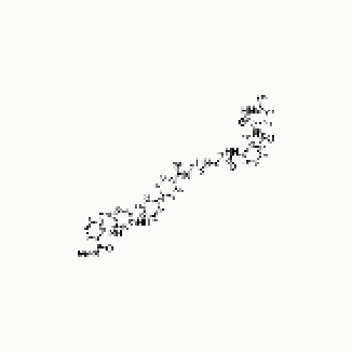 CNC(=O)c1ccccc1Nc1nc(Nc2ccc(N3CCN(C(=O)NCCNCCC(=O)Nc4cccc5c4CN(C4CCC(=O)NC4=O)C5=O)CC3)cc2)ncc1Cl